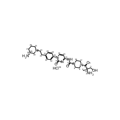 C[C@](N)(CO)C(=O)N1CCN(C(=O)Nc2ccn(-c3ccc(CCN4CCC[C@@H](N)C4)cc3)c(=O)n2)CC1.Cl